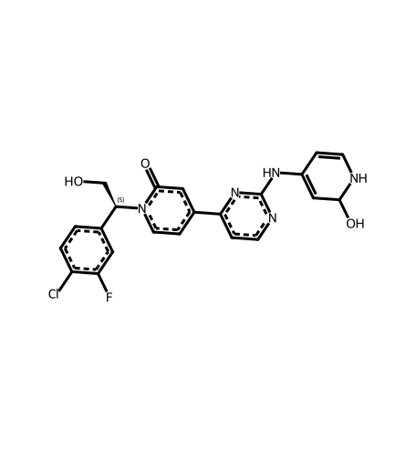 O=c1cc(-c2ccnc(NC3=CC(O)NC=C3)n2)ccn1[C@H](CO)c1ccc(Cl)c(F)c1